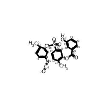 Cc1ccc(N=C=O)cc1.Cc1ccc(S(=O)(=O)Cl)cc1.Cc1cccc(C(=O)O)c1